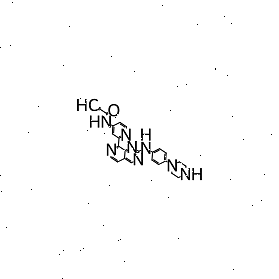 C#CC(=O)Nc1ccnc(-c2nccc3cnc(Nc4ccc(N5CCNCC5)cc4)nc23)c1